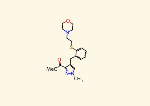 COC(=O)c1nn(C)cc1Cc1ccccc1SCCN1CCOCC1